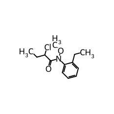 CCc1ccccc1N(OC)C(=O)C(Cl)CC